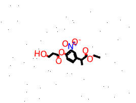 CCOC(=O)C(C)c1ccc(OC(=O)CCO)c([N+](=O)[O-])c1